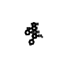 Cc1cc(N2CCOCC2)ccc1Nc1nc(NC2CC[CH]CC2C)c2nc[nH]c2n1